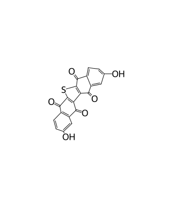 O=c1c2ccc(O)cc2c(=O)c2c1sc1c(=O)c3ccc(O)cc3c(=O)c12